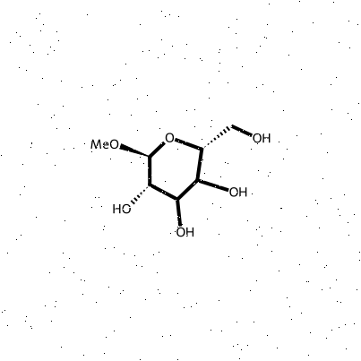 CO[C@H]1O[C@H](CO)C(O)C(O)[C@@H]1O